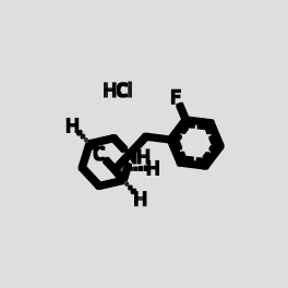 Cl.Fc1ccccc1C[C@@H]1C[C@H]2CC[C@@H]1NC2